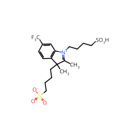 CC1=[N+](CCCCS(=O)(=O)O)c2cc(C(F)(F)F)ccc2C1(C)CCCCS(=O)(=O)[O-]